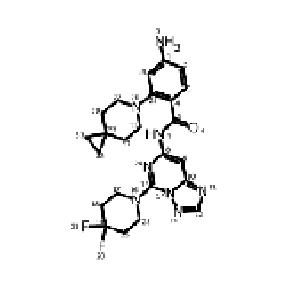 Nc1ccc(C(=O)Nc2cc3ncnn3c(N3CCC(F)(F)CC3)n2)c(N2CCC3(CC2)CC3)c1